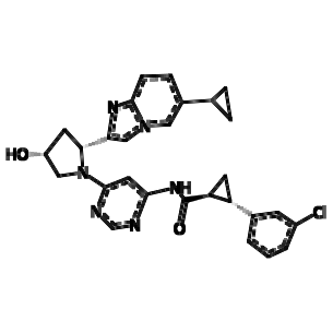 O=C(Nc1cc(N2C[C@H](O)C[C@@H]2c2cn3cc(C4CC4)ccc3n2)ncn1)[C@H]1C[C@@H]1c1cccc(Cl)c1